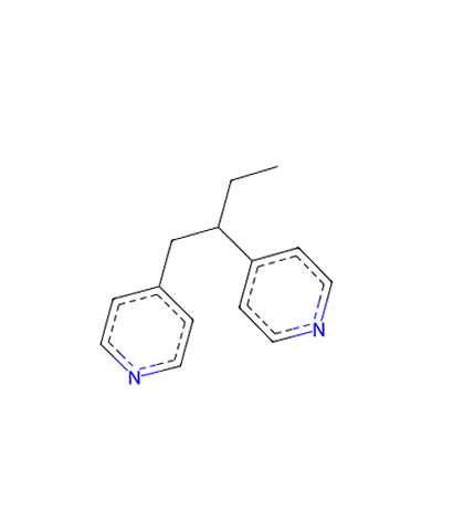 CCC(Cc1ccncc1)c1ccncc1